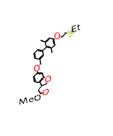 CCSCCOc1cc(C)c(-c2cccc(COc3ccc4c(c3)OCC4CC(=O)OC)c2)c(C)c1